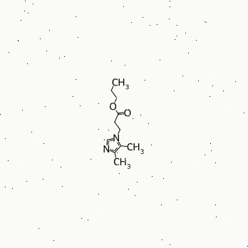 CCCOC(=O)CCn1[c]nc(C)c1C